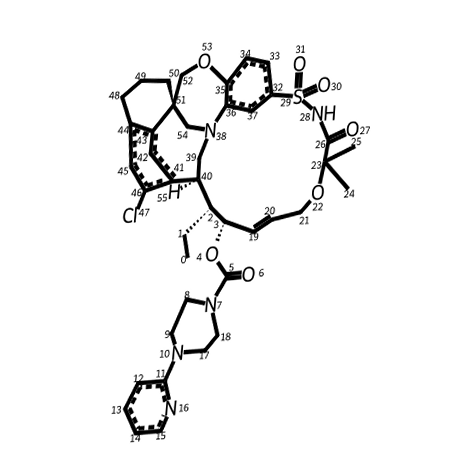 CC[C@H]1[C@@H](OC(=O)N2CCN(c3ccccn3)CC2)/C=C/COC(C)(C)C(=O)NS(=O)(=O)c2ccc3c(c2)N2C[C@@H]1c1cc4c(cc1Cl)CCC[C@@]4(CO3)C2